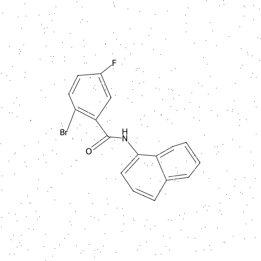 O=C(Nc1cccc2ccccc12)c1cc(F)ccc1Br